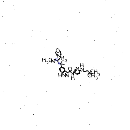 C=N/C=C(\C=C(/C)c1ccc2[nH]nc(C(=O)Nc3ccc(NCCN(C)C)nc3)c2c1)CN1CCOCC1